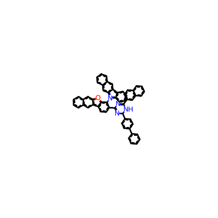 c1ccc(-c2ccc(C3N=C(c4ccc5c(oc6cc7ccccc7cc65)c4-n4c5ccccc5c5cc6ccccc6cc54)N=C(c4ccc5ccccc5c4)N3)cc2)cc1